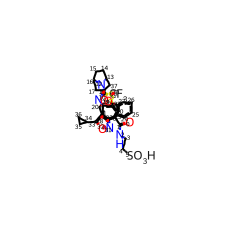 O=C(NCCS(=O)(=O)O)c1ccc2nc(N3C4CCC3CC(OCc3c(-c5ccccc5OC(F)(F)F)noc3C3CC3)C4)sc2c1